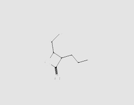 CCCC1C(=O)OC1CC